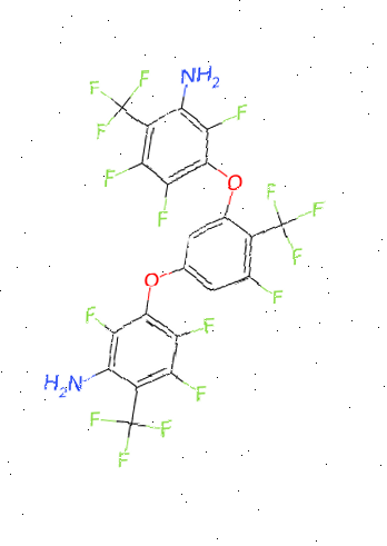 Nc1c(F)c(Oc2cc(F)c(C(F)(F)F)c(Oc3c(F)c(N)c(C(F)(F)F)c(F)c3F)c2)c(F)c(F)c1C(F)(F)F